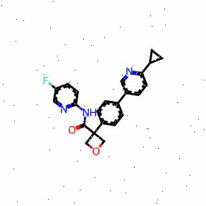 O=C(Nc1ccc(F)cn1)C1(c2ccc(-c3ccc(C4CC4)nc3)cc2)COC1